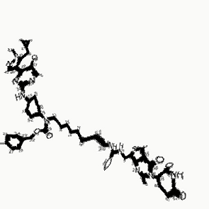 Cc1nc2c(CNC(=O)NCCCCCCCCN(C(=O)OCc3ccccc3)C3CCC(Nc4ncc(Cl)c(-c5cnn(C)c5CC5CC5)n4)CC3)scc2c(=O)n1C1CCC(=O)NC1=O